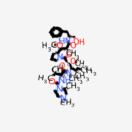 CC[C@H](C)[C@@H]([C@H](CC(=O)N1CCC[C@H]1[C@H](OC)[C@@H](C)C(=O)N[C@H](CO)Cc1ccccc1)OC)N(C)C(=O)[C@@H](NC(=O)N1CCN(C)C[C@H]1C)C(C)C